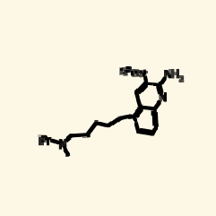 CCCCCc1cc2c(CCCCCN(C)C(C)C)cccc2nc1N